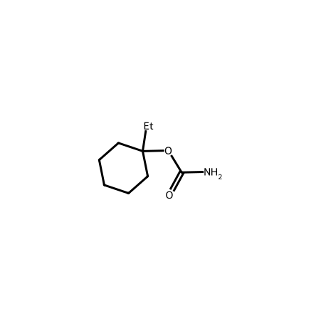 CCC1(OC(N)=O)CCCCC1